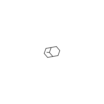 CC1C2CCCC1CCC2